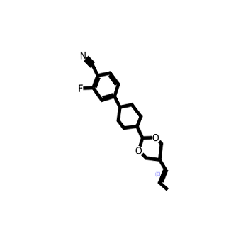 C/C=C/C1COC(C2CCC(c3ccc(C#N)c(F)c3)CC2)OC1